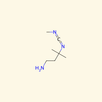 CN=C=NC(C)(C)CCN